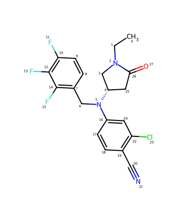 CCN1C[C@@H](N(Cc2ccc(F)c(F)c2F)c2ccc(C#N)c(Cl)c2)CC1=O